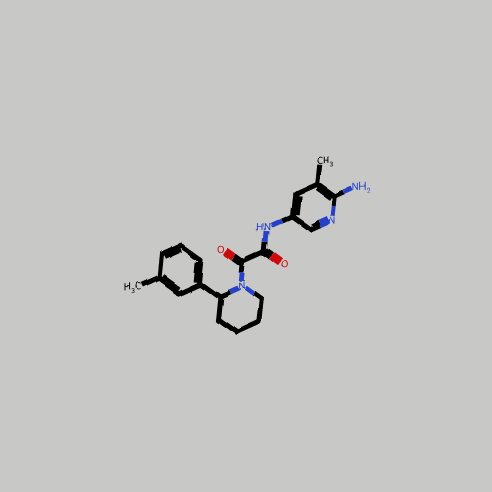 Cc1cccc(C2CCCCN2C(=O)C(=O)Nc2cnc(N)c(C)c2)c1